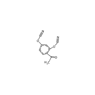 CC(=O)c1ccc(OC#N)cc1OC#N